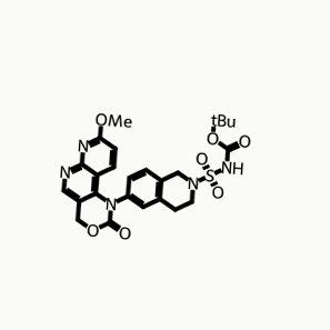 COc1ccc2c3c(cnc2n1)COC(=O)N3c1ccc2c(c1)CCN(S(=O)(=O)NC(=O)OC(C)(C)C)C2